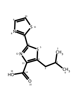 CC(C)Cc1sc(-c2nccs2)nc1C(=O)O